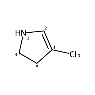 ClC1=CN[CH]C1